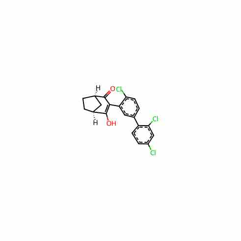 O=C1C(c2cc(-c3ccc(Cl)cc3Cl)ccc2Cl)=C(O)[C@H]2CC[C@@H]1C2